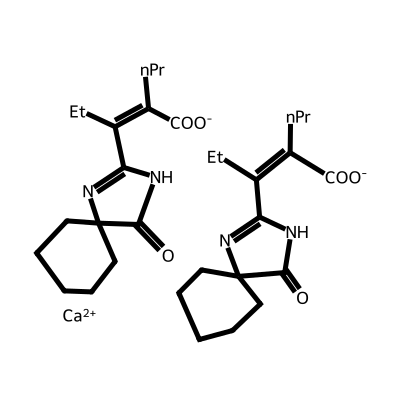 CCC/C(C(=O)[O-])=C(\CC)C1=NC2(CCCCC2)C(=O)N1.CCC/C(C(=O)[O-])=C(\CC)C1=NC2(CCCCC2)C(=O)N1.[Ca+2]